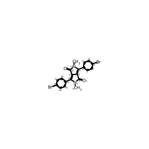 CN1C(=O)C2=C(c3ccc(Br)cc3)N(C)C(=O)C2=C1c1ccc(Br)cc1